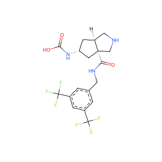 O=C(O)N[C@@H]1C[C@H]2CNC[C@@]2(C(=O)NCc2cc(C(F)(F)F)cc(C(F)(F)F)c2)C1